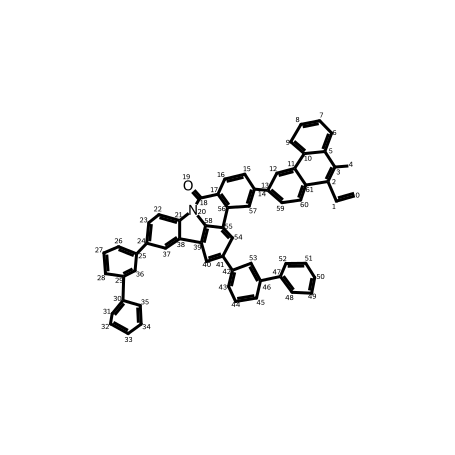 C=Cc1c(C)c2ccccc2c2cc(-c3ccc4c(=O)n5c6ccc(-c7cccc(-c8ccccc8)c7)cc6c6cc(-c7cccc(-c8ccccc8)c7)cc(c4c3)c65)ccc12